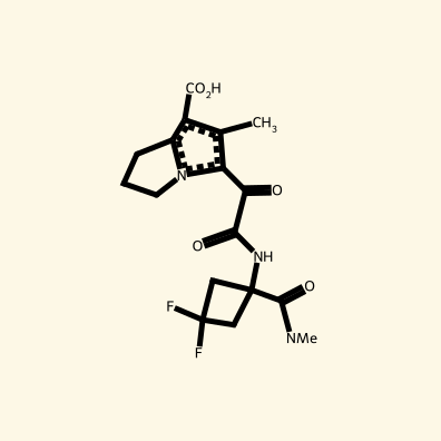 CNC(=O)C1(NC(=O)C(=O)c2c(C)c(C(=O)O)c3n2CCC3)CC(F)(F)C1